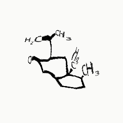 C=C(C)[C@H]1C[C@@]2(C)C(=CC1=O)CCC[C@@H]2C